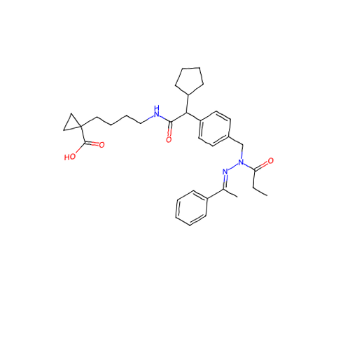 CCC(=O)N(Cc1ccc(C(C(=O)NCCCCC2(C(=O)O)CC2)C2CCCC2)cc1)/N=C(\C)c1ccccc1